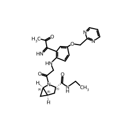 CCNC(=O)[C@@H]1C[C@H]2C[C@H]2N1C(=O)CNc1ccc(OCc2ncccn2)cc1C(=N)C(C)=O